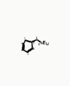 CCCCC[C]1C=CC=CC1